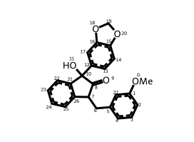 COc1cccc(CC2C(=O)C(O)(c3ccc4c(c3)OCO4)c3ccccc32)c1